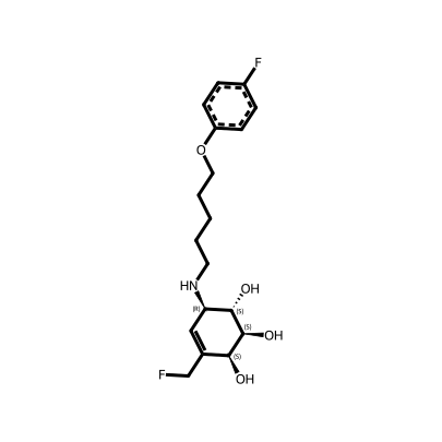 O[C@@H]1[C@@H](O)[C@@H](O)C(CF)=C[C@H]1NCCCCCOc1ccc(F)cc1